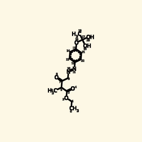 CCOC(=O)C(C)C(=O)CN=Nc1ccc(OC(C)(O)O)cc1